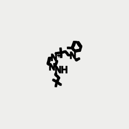 CCN(CCC(C)(C)C[n+]1ccnc(NCCC(C)(C)C)c1)c1ccccc1C